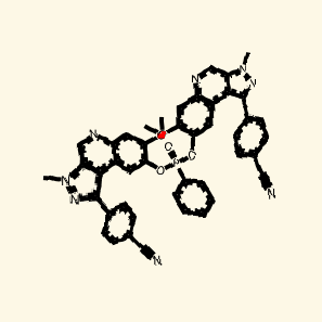 COc1cc2ncc3c(c(-c4ccc(C#N)cc4)nn3C)c2cc1OP(=O)(Oc1cc2c(cc1OC)ncc1c2c(-c2ccc(C#N)cc2)nn1C)c1ccccc1